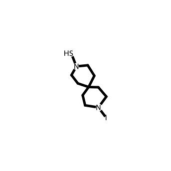 SN1CCC2(CC1)CCN(I)CC2